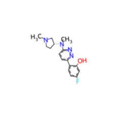 CN1CC[C@@H](N(C)c2ccc(-c3ccc(F)cc3O)nn2)C1